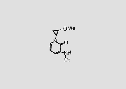 CO[C@H]1C[C@@H]1n1cccc(NC(C)C)c1=O